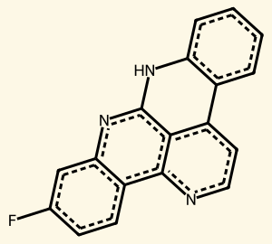 Fc1ccc2c(c1)nc1c3c(ccnc32)-c2ccccc2N1